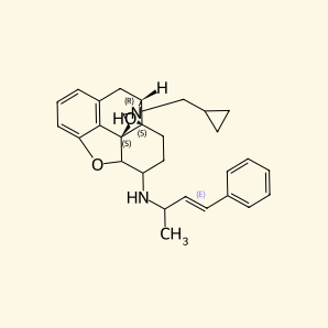 CC(/C=C/c1ccccc1)NC1CC[C@@]2(O)[C@H]3Cc4cccc5c4[C@@]2(CCN3CC2CC2)C1O5